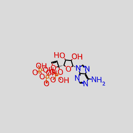 Nc1ncnc2c1ncn2[C@@H]1O[C@H](C2(OP(=O)(O)OP(=O)(O)OP(=O)(O)O)C=CO2)[C@@H](O)[C@H]1O